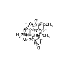 COC(=O)c1nc(Cl)ccc1N[C@H](C)c1cc(C)cc2c(=O)n(C)c(-c3cnc(C)nc3)nc12